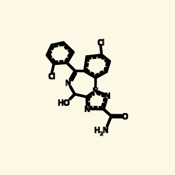 NC(=O)c1nc2n(n1)-c1ccc(Cl)cc1C(c1ccccc1Cl)=NC2O